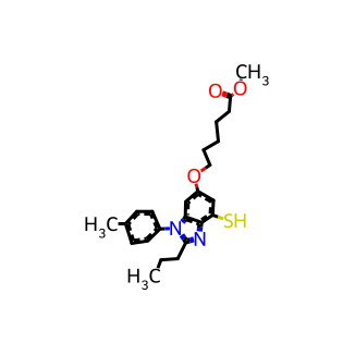 CCCc1nc2c(S)cc(OCCCCCC(=O)OC)cc2n1-c1ccc(C)cc1